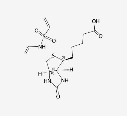 C=CNS(=O)(=O)C=C.O=C(O)CCCC[C@@H]1SC[C@@H]2NC(=O)N[C@@H]21